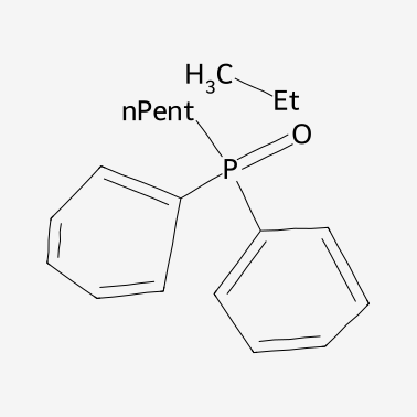 CCC.CCCCCP(=O)(c1ccccc1)c1ccccc1